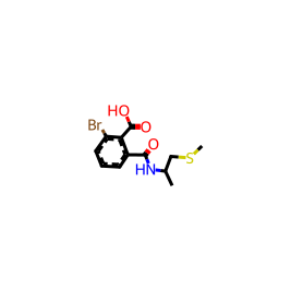 CSCC(C)NC(=O)c1cccc(Br)c1C(=O)O